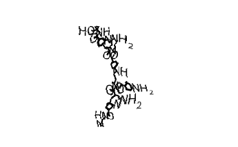 CCCN(OCc1ccc(NCCCN(OCc2ccc(N)cc2)C(=O)C2=Cc3ccc(C(=O)NCCCN(C)C)cc3N=C(N)C2)cc1)C(=O)C1=Cc2ccc(C(=O)NC3(CO)CC3)cc2N=C(N)C1